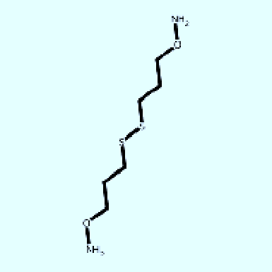 NOCCCSSCCCON